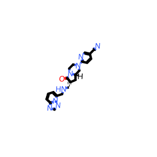 N#Cc1ccc(N2CCN3C(=O)[C@@H](CNCc4cccc5ncnn45)C[C@H]3C2)nc1